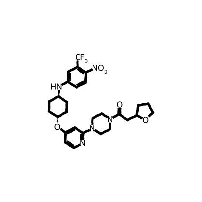 O=C(CC1CCCO1)N1CCN(c2cc(O[C@H]3CC[C@H](Nc4ccc([N+](=O)[O-])c(C(F)(F)F)c4)CC3)ccn2)CC1